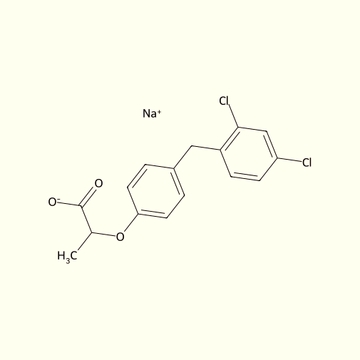 CC(Oc1ccc(Cc2ccc(Cl)cc2Cl)cc1)C(=O)[O-].[Na+]